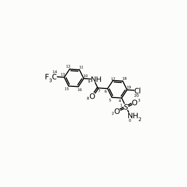 NS(=O)(=O)c1cc(C(=O)Nc2ccc(C(F)(F)F)cc2)ccc1Cl